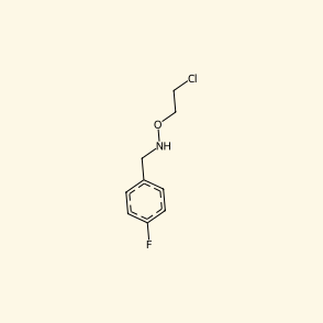 Fc1ccc(CNOCCCl)cc1